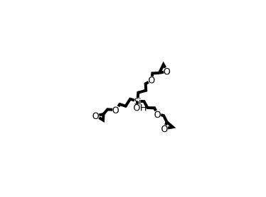 O[Si](CCCOCC1CO1)(CCCOCC1CO1)CCCOCC1CO1